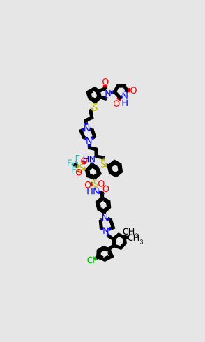 CC1(C)CCC(c2ccc(Cl)cc2)=C(CN2CCN(c3ccc(C(=O)NS(=O)(=O)c4ccc(NC(CCN5CCN(CCCSc6cccc7c6CN(C6CCC(=O)NC6=O)C7=O)CC5)CSc5ccccc5)c(S(=O)(=O)C(F)(F)F)c4)cc3)CC2)C1